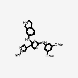 CCCn1cc(-c2cnc(Nc3cc(OC)cc(OC)c3)nc2Nc2ccc3c(c2)CNCC3)cn1